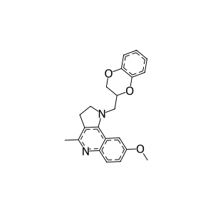 COc1ccc2nc(C)c3c(c2c1)N(CC1COc2ccccc2O1)CC3